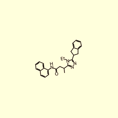 CCn1c(C(C)CC(=O)Nc2cccc3ccccc23)nnc1C1Cc2ccccc2C1